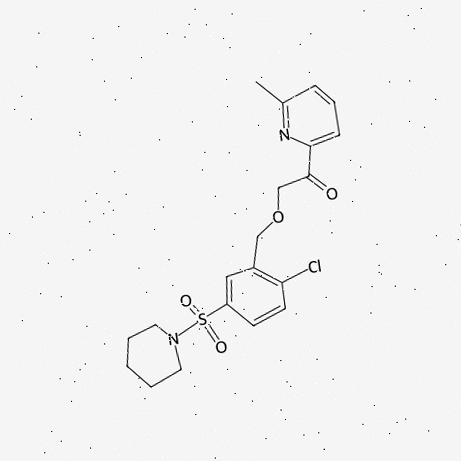 Cc1cccc(C(=O)COCc2cc(S(=O)(=O)N3CCCCC3)ccc2Cl)n1